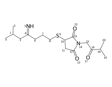 CC(C)CC(=N)CCCSC1CC(=O)N(CC(=O)C(C)C)C1=O